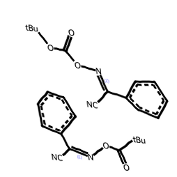 CC(C)(C)C(=O)O/N=C(/C#N)c1ccccc1.CC(C)(C)OC(=O)O/N=C(\C#N)c1ccccc1